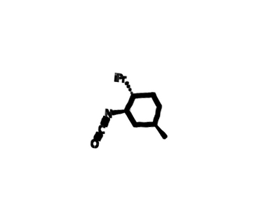 CC(C)[C@@H]1CC[C@@H](C)C[C@H]1N=C=O